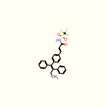 CC/C(=C(\c1ccccc1)c1ccc(/C=C/C(=O)NS(=O)(=O)C(F)(F)F)cc1)c1ccccc1